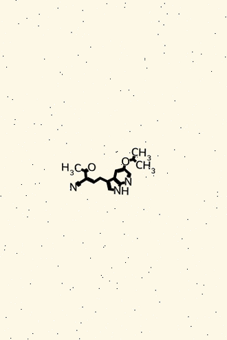 CC(=O)C(C#N)=CCc1c[nH]c2ncc(OC(C)C)cc12